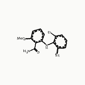 CCc1cccc(CC)c1Nc1cccc(OC)c1C(N)=O